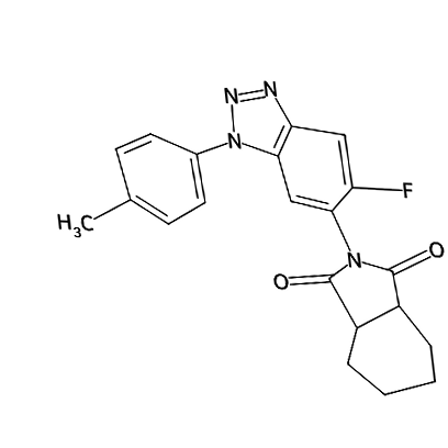 Cc1ccc(-n2nnc3cc(F)c(N4C(=O)C5CCCCC5C4=O)cc32)cc1